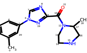 Cc1cccc(-n2cnc(C(=O)N3CCNCC3C)n2)c1